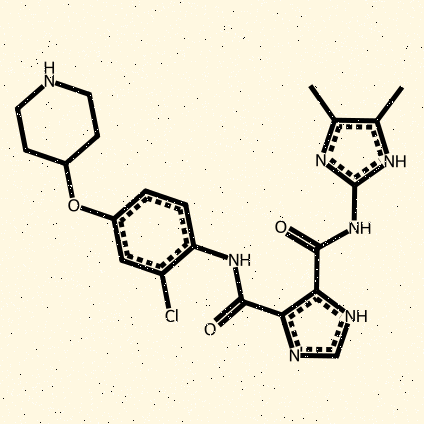 Cc1nc(NC(=O)c2[nH]cnc2C(=O)Nc2ccc(OC3CCNCC3)cc2Cl)[nH]c1C